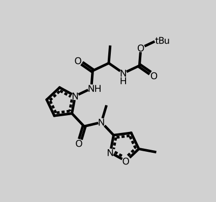 Cc1cc(N(C)C(=O)c2cccn2NC(=O)C(C)NC(=O)OC(C)(C)C)no1